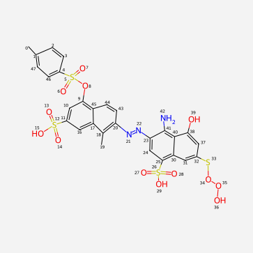 Cc1ccc(S(=O)(=O)Oc2cc(S(=O)(=O)O)cc3c(C)c(N=Nc4cc(S(=O)(=O)O)c5cc(SOOO)cc(O)c5c4N)ccc23)cc1